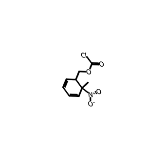 CC1([N+](=O)[O-])C=CC=CC1COC(=O)Cl